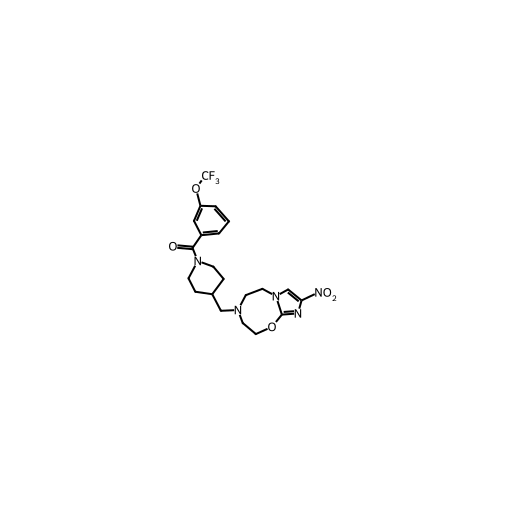 O=C(c1cccc(OC(F)(F)F)c1)N1CCC(CN2CCOc3nc([N+](=O)[O-])cn3CC2)CC1